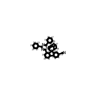 N#Cc1ccc2c(c1)C1(c3c(-c4nc(-c5ccccc5)nc(-c5ccccc5)n4)cccc3-2)C2CC3CC(C2)CC1C3